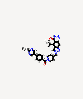 CC(c1c(C(N)=O)ccc2nn(CC3CCN(C(=O)c4ccc(-c5cnc(C(F)(F)F)nc5)cc4)CC3)cc12)C(F)(F)F